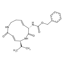 CC(C)[C@H]1/C=C/C(=O)NCC/C=C/[C@H](NC(=O)OCc2ccccc2)C(=O)N1